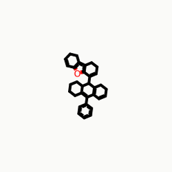 C1=CC2=C(CC1)C(C1=CCCc3c1oc1c3CCC=C1)C1CCCCC1=C2c1ccccc1